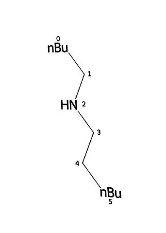 [CH2]CCCCNCCCCCC